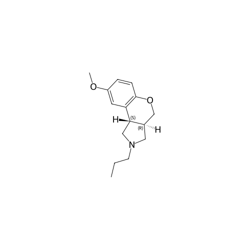 CCCN1C[C@@H]2COc3ccc(OC)cc3[C@H]2C1